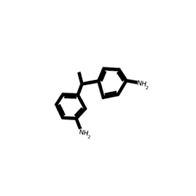 CC(c1ccc(N)cc1)c1cccc(N)c1